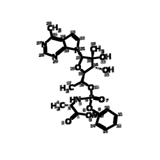 COC(=O)[C@H](C)NP(=O)(Oc1ccccc1)OC(C)[C@H]1O[C@@H](n2ccc3c(C)ncnc32)[C@](C)(O)[C@@H]1O